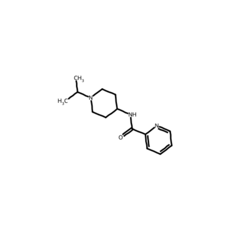 CC(C)N1CCC(NC(=O)c2ccccn2)CC1